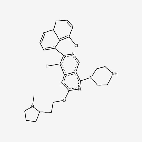 CN1CCCC1CCOc1nc(N2CCNCC2)c2cnc(C3=CC=CC4CC=CC(Cl)=C34)c(F)c2n1